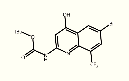 CC(C)(C)OC(=O)Nc1cc(O)c2cc(Br)cc(C(F)(F)F)c2n1